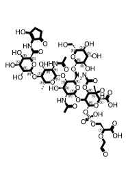 CC(=O)N[C@H]1[C@H](O[C@H]2[C@H](O)[C@@H](NC(C)=O)[C@H](OC3[C@@H](OP(=O)(O)OC[C@H](OCC=O)C(=O)O)O[C@H](C(=O)O)[C@@](C)(O)[C@@H]3OC(N)=O)O[C@@H]2CO[C@@H]2O[C@H](CO)[C@@H](O)[C@H](O)[C@H]2O)O[C@H](C)[C@@H](O[C@@H]2O[C@H](C(=O)NC3=C(O)CCC3=O)[C@H](O)[C@H](O)[C@H]2O)[C@@H]1O